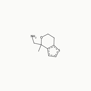 CC1(CN)OCCc2sccc21